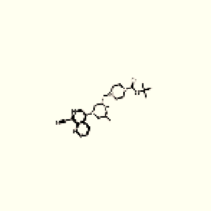 CC1CN(c2cnc(C#N)c3ncccc23)C[C@H](CN2CCN(C(=O)OC(C)(C)C)CC2)O1